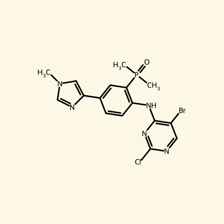 Cn1cnc(-c2ccc(Nc3nc(Cl)ncc3Br)c(P(C)(C)=O)c2)c1